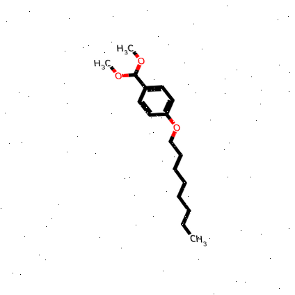 CCCCCCCCOc1ccc(C(OC)OC)cc1